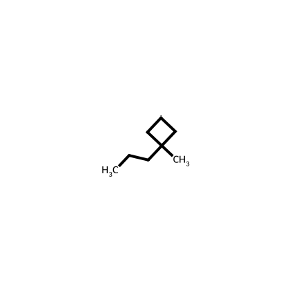 CCCC1(C)C[CH]C1